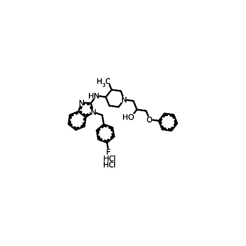 CC1CN(CC(O)COc2ccccc2)CCC1Nc1nc2ccccc2n1Cc1ccc(F)cc1.Cl.Cl